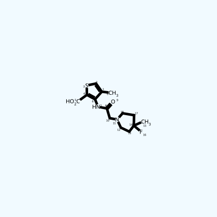 Cc1csc(C(=O)O)c1NC(=O)CN1CCC(C)(F)CC1